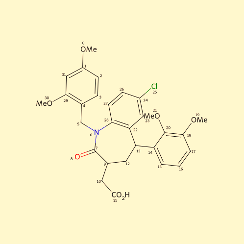 COc1ccc(CN2C(=O)C(CC(=O)O)CC(c3cccc(OC)c3OC)c3cc(Cl)ccc32)c(OC)c1